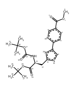 COC(=O)c1ccc(-c2csc(C[C@H](NC(=O)OC(C)(C)C)C(=O)OC(C)(C)C)n2)nc1